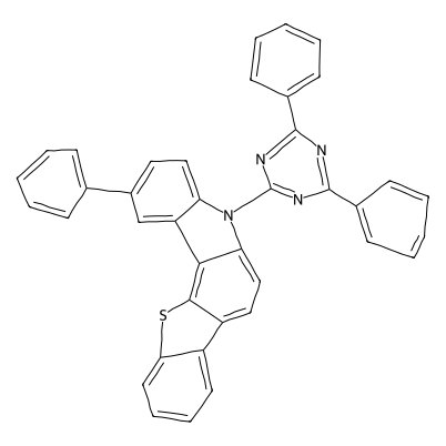 c1ccc(-c2ccc3c(c2)c2c4sc5ccccc5c4ccc2n3-c2nc(-c3ccccc3)nc(-c3ccccc3)n2)cc1